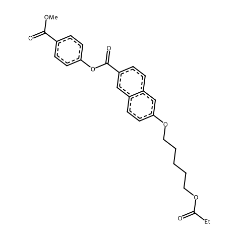 CCC(=O)OCCCCCOc1ccc2cc(C(=O)Oc3ccc(C(=O)OC)cc3)ccc2c1